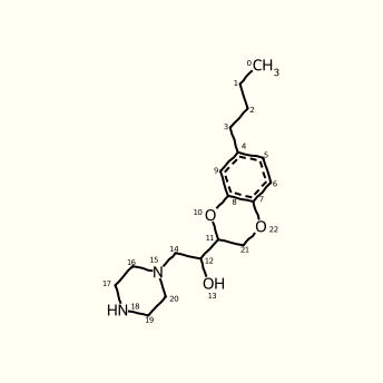 CCCCc1ccc2c(c1)OC(C(O)CN1CCNCC1)CO2